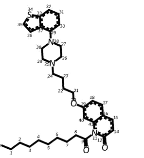 CCCCCCCCCC(=O)n1c(=O)ccc2ccc(OCCCCN3CCN(c4cccc5sccc45)CC3)cc21